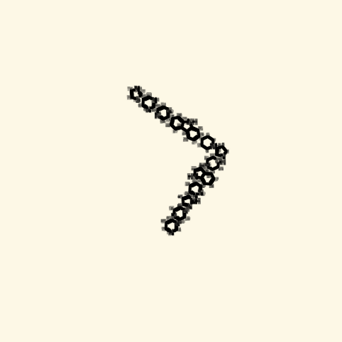 C1=CNCC1.C1CCNCC1.C1COCCN1.c1ccc2[nH]ccc2c1.c1ccc2c(c1)[nH]c1ccccc12.c1ccnnc1.c1cn[nH]c1.c1cnccn1.c1cnccn1.c1cncnc1.c1cncnc1.c1cscn1